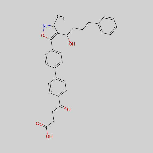 Cc1noc(-c2ccc(-c3ccc(C(=O)CCC(=O)O)cc3)cc2)c1C(O)CCCc1ccccc1